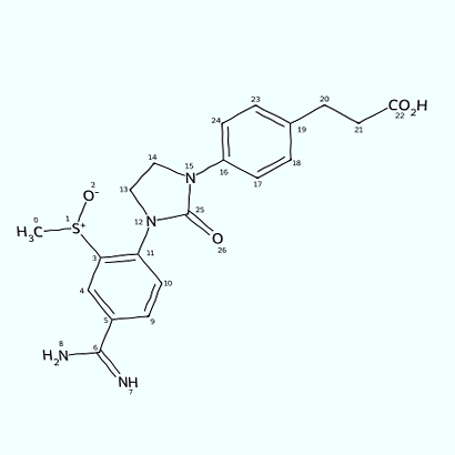 C[S+]([O-])c1cc(C(=N)N)ccc1N1CCN(c2ccc(CCC(=O)O)cc2)C1=O